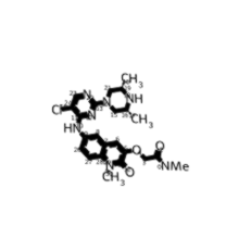 CNC(=O)COc1cc2cc(Nc3nc(N4C[C@@H](C)N[C@@H](C)C4)ncc3Cl)ccc2n(C)c1=O